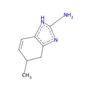 CC1C=Cc2[nH]c(N)nc2C1